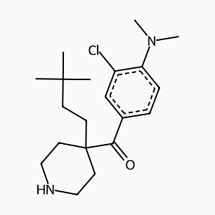 CN(C)c1ccc(C(=O)C2(CCC(C)(C)C)CCNCC2)cc1Cl